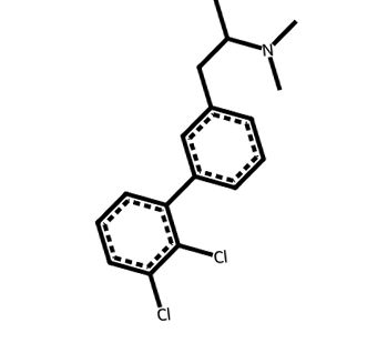 [CH2]C(Cc1cccc(-c2cccc(Cl)c2Cl)c1)N(C)C